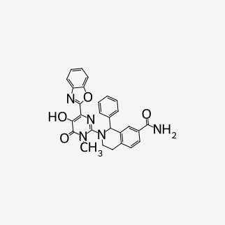 Cn1c(N2CCc3ccc(C(N)=O)cc3C2c2ccccc2)nc(-c2nc3ccccc3o2)c(O)c1=O